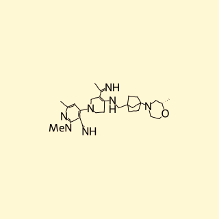 CNc1nc(C)cc(N2CCC(NCC34CCC(N5CCO[C@@H](C)C5)(CC3)C4)=C(C(C)=N)C2)c1C=N